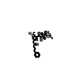 Cc1sc(CNCCCc2ccccc2)nc1C(=O)NS(=O)(=O)N(C)C